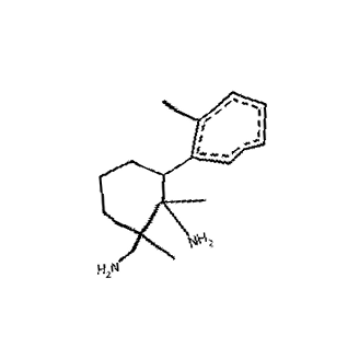 Cc1ccccc1C1CCCC(C)(N)C1(C)N